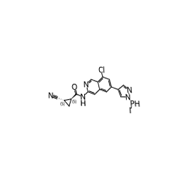 N#C[C@H]1C[C@@H]1C(=O)Nc1cc2cc(-c3cnn(PI)c3)cc(Cl)c2cn1